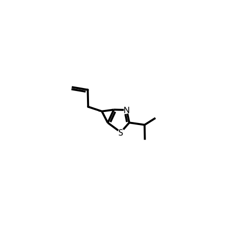 C=CC[C]1c2nc(C(C)C)sc21